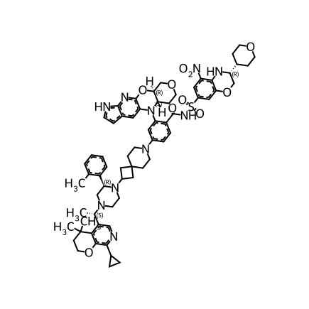 Cc1ccccc1[C@@H]1CN([C@@H](C)c2cnc(C3CC3)c3c2C(C)(C)CCO3)CCN1C1CC2(CCN(c3ccc(C(=O)NS(=O)(=O)c4cc5c(c([N+](=O)[O-])c4)N[C@H](C4CCOCC4)CO5)c(N4c5cc6cc[nH]c6nc5O[C@H]5COCC[C@@H]54)c3)CC2)C1